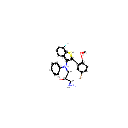 COc1ccc(Br)cc1-c1sc2c(F)cccc2c1N(CC(O)CN)c1ccccc1